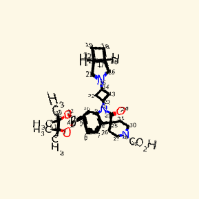 CC1(C)OB(c2ccc3c(c2)N(C2CC(N4C[C@H]5CC[C@H]5C4)C2)C(=O)C32CCN(C(=O)O)CC2)OC1(C)C